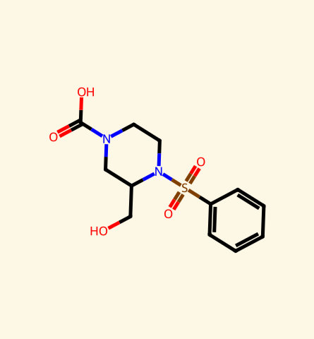 O=C(O)N1CCN(S(=O)(=O)c2ccccc2)C(CO)C1